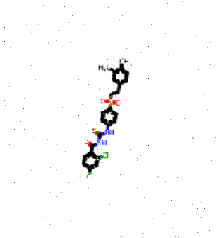 Cc1ccc(CCS(=O)(=O)c2ccc(NC(=S)NC(=O)c3ccc(Cl)cc3Cl)cc2)cc1C